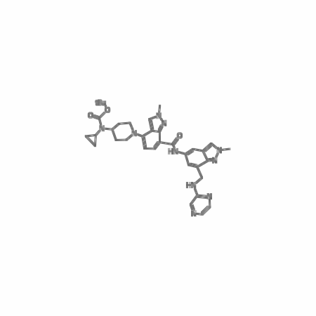 Cn1cc2cc(NC(=O)c3ccc(N4CCC(N(C(=O)OC(C)(C)C)C5CC5)CC4)c4cn(C)nc34)cc(CNc3cnccn3)c2n1